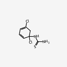 NC(=S)NC1(Cl)C=CC=C(Cl)C1